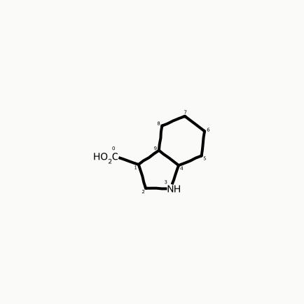 O=C(O)C1CNC2CCCCC21